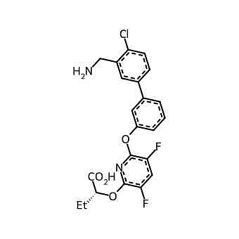 CC[C@@H](Oc1nc(Oc2cccc(-c3ccc(Cl)c(CN)c3)c2)c(F)cc1F)C(=O)O